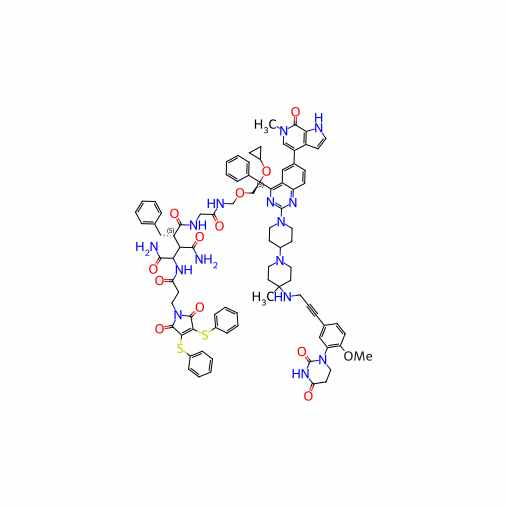 COc1ccc(C#CCNC2(C)CCN(C3CCN(c4nc([C@@](COCNC(=O)CNC(=O)[C@@H](Cc5ccccc5)C(C(N)=O)C(NC(=O)CCN5C(=O)C(Sc6ccccc6)=C(Sc6ccccc6)C5=O)C(N)=O)(OC5CC5)c5ccccc5)c5cc(-c6cn(C)c(=O)c7[nH]ccc67)ccc5n4)CC3)CC2)cc1N1CCC(=O)NC1=O